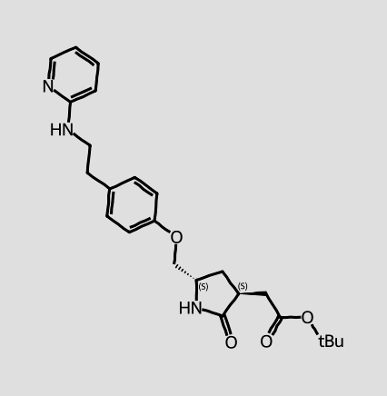 CC(C)(C)OC(=O)C[C@@H]1C[C@@H](COc2ccc(CCNc3ccccn3)cc2)NC1=O